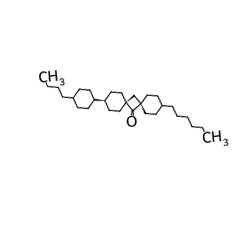 CCCCCCC1CC[C@]2(CC1)C[C@@]1(CC[C@H](C3CCC(CCCC)CC3)CC1)C2=O